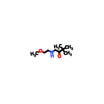 COCCNCC(=O)C(C)(C)C